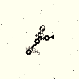 CN(CCN1CCOCC1)C(C(=O)Nc1ccc(C2CC2)cc1)c1ccc(C=CC(=O)Nc2ccccc2N)cc1